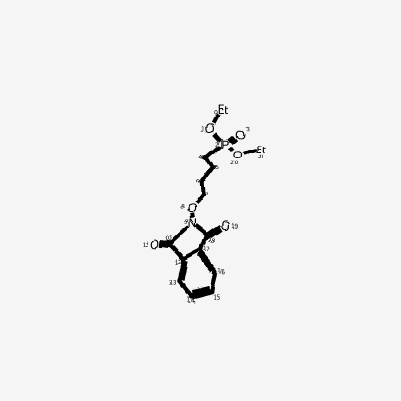 CCOP(=O)(CCCCON1C(=O)c2ccccc2C1=O)OCC